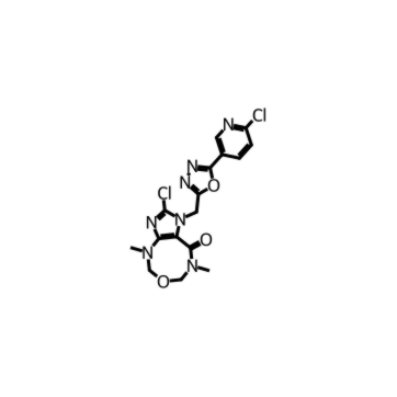 CN1COCN(C)c2nc(Cl)n(Cc3nnc(-c4ccc(Cl)nc4)o3)c2C1=O